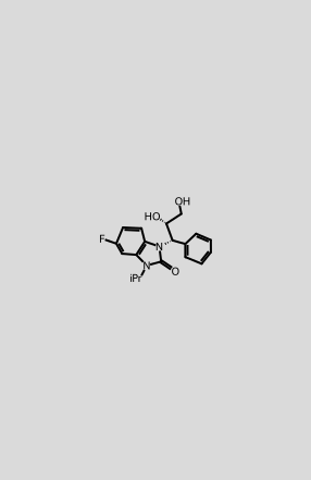 CC(C)n1c(=O)n([C@@H](c2ccccc2)[C@H](O)CO)c2ccc(F)cc21